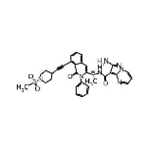 C[C@@H](NC(=O)c1c(N)nn2cccnc12)c1cc2cccc(C#CC3CCN(S(C)(=O)=O)CC3)c2c(=O)n1-c1ccccc1